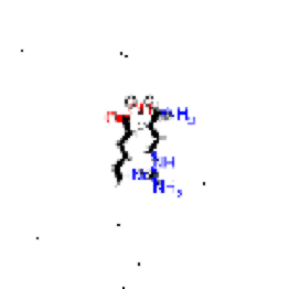 CCCCCC(=O)O.N=C(N)NCCC[C@H](N)C(=O)O